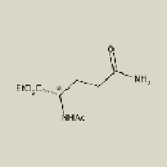 CCOC(=O)[C@H](CCC(N)=O)NC(C)=O